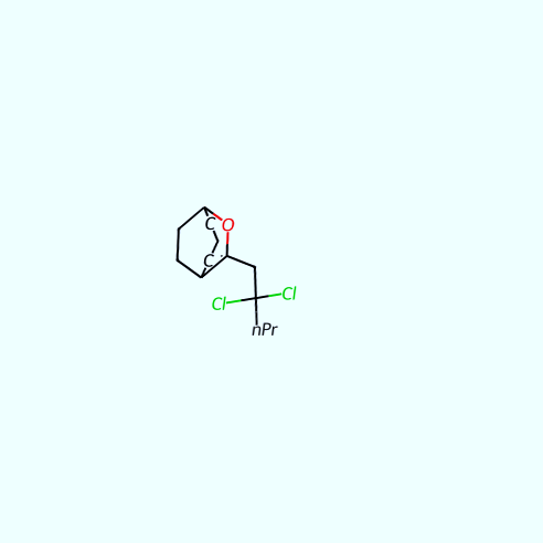 [CH2]CCC(Cl)(Cl)C[C]1OC2CCCC1CC2